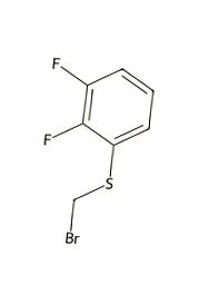 Fc1cccc(SCBr)c1F